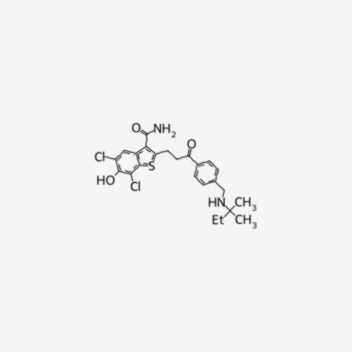 CCC(C)(C)NCc1ccc(C(=O)CCc2sc3c(Cl)c(O)c(Cl)cc3c2C(N)=O)cc1